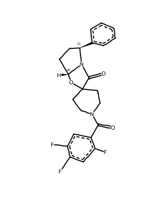 O=C(c1cc(F)c(F)cc1F)N1CCC2(CC1)O[C@@H]1CC[C@@H](c3ccccc3)N1C2=O